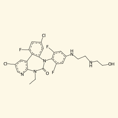 CCN1C(=O)N(c2c(F)cc(NCCNCCO)cc2F)c2cc(Cl)cc(F)c2-c2cc(Cl)cnc21